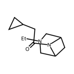 CCN1CC2CC(C1)N2C(=O)CC1CC1